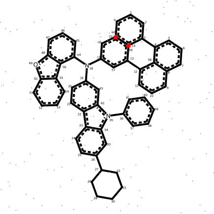 c1ccc(-c2cccc3cccc(-c4cccc(N(c5ccc6c7ccc(C8CCCCC8)cc7n(-c7ccccc7)c6c5)c5cccc6oc7ccccc7c56)c4)c23)cc1